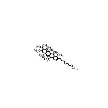 COCCOCCCC1=CCC2C(C1C)C(O)C1C(C)C3(C)C(O)C(C(C)O)C(C)CC3(C)C(C)C1(C)C2C